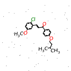 COc1ccc(Cl)c(C=CC(=O)c2ccc(OCCC(C)C)cc2)c1